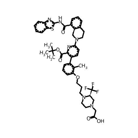 Cc1c(OCCCN2CCN(CC(=O)O)C[C@@H]2C(F)(F)F)cccc1-c1ccc(N2CCc3cccc(C(=O)Nc4nc5ccccc5s4)c3C2)nc1C(=O)OC(C)(C)C